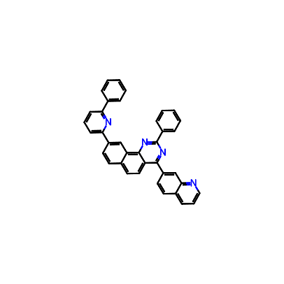 c1ccc(-c2cccc(-c3ccc4ccc5c(-c6ccc7cccnc7c6)nc(-c6ccccc6)nc5c4c3)n2)cc1